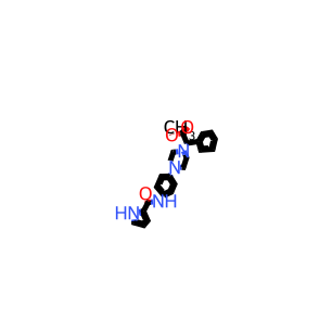 COC(=O)C(c1ccccc1)N1CCN(c2ccc(NC(=O)c3ccc[nH]3)cc2)CC1